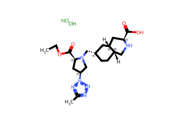 CCOC(=O)[C@@H]1C[C@H](n2nnc(C)n2)CN1C[C@H]1CC[C@H]2CN[C@H](C(=O)O)C[C@H]2C1.Cl.Cl